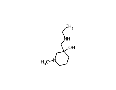 CCNCC1(O)CCCN(C)C1